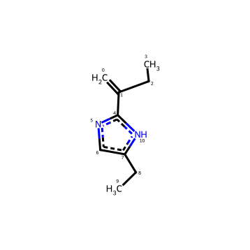 C=C(CC)c1ncc(CC)[nH]1